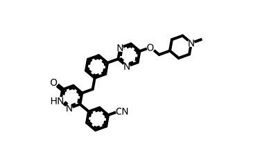 CN1CCC(COc2cnc(-c3cccc(Cc4cc(=O)[nH]nc4-c4cccc(C#N)c4)c3)nc2)CC1